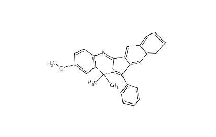 COc1ccc2c(c1)C(C)(C)C1=C(c3ccccc3)c3cc4ccccc4cc3C1=N2